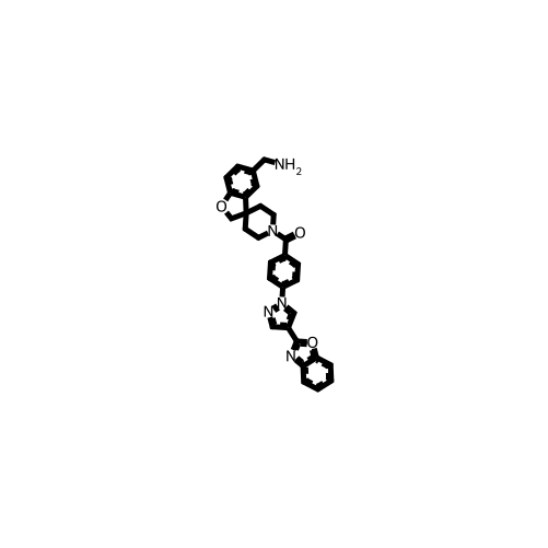 NCc1ccc2c(c1)C1(CCN(C(=O)c3ccc(-n4cc(-c5nc6ccccc6o5)cn4)cc3)CC1)CO2